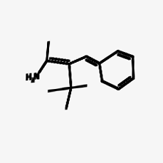 C/C(N)=C(\C=C1\C=CC=CC1)C(C)(C)C